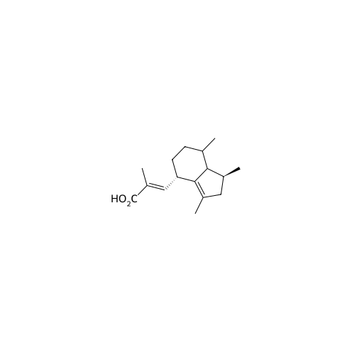 CC1=C2C(C(C)CC[C@H]2/C=C(\C)C(=O)O)[C@@H](C)C1